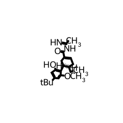 CC(=N)NC(=O)C1=CC[C@@H]2[C@@H](C1)c1c(O)cc(C(C)(C)C)cc1OC2(C)C